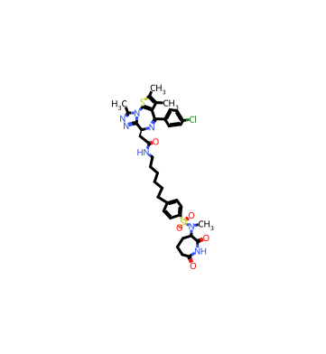 Cc1sc2c(c1C)C(c1ccc(Cl)cc1)=N[C@@H](CC(=O)NCCCCCCc1ccc(S(=O)(=O)N(C)C3CCCC(=O)NC3=O)cc1)c1nnc(C)n1-2